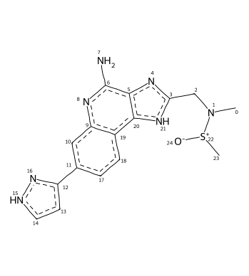 CN(Cc1nc2c(N)nc3cc(-c4cc[nH]n4)ccc3c2[nH]1)[S+](C)[O-]